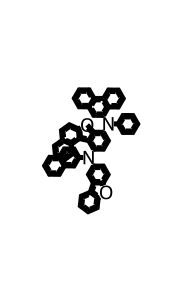 c1ccc(N(c2cc3ccccc3c3ccccc23)c2ccc(N(c3ccc4ccccc4c3)c3ccc4oc5ccccc5c4c3)c3c2oc2ccc4ccccc4c23)cc1